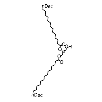 CCCCCCCCCCCCCCCCCCCCCCCC(=O)OC[C@H](CO)OC(=O)CCCCCCCCCCCCCCCCCCCCCCC